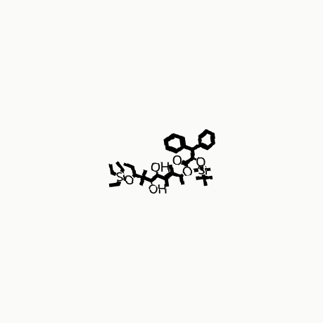 CCC(O[Si](CC)(CC)CC)C(C)(C)[C@@H](O)[C@@H](O)/C(C)=C(\C)C(C)OC(=O)[C@H](O[Si](C)(C)C(C)(C)C)C(c1ccccc1)c1ccccc1